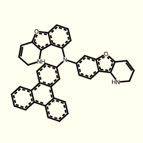 C1=Cc2oc3cc(N(c4ccc5c6ccccc6c6ccccc6c5c4)c4cccc5oc6c(c45)NCC=C6)ccc3c2NC1